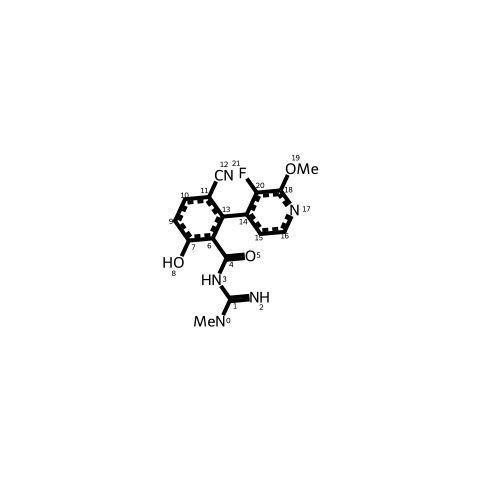 CNC(=N)NC(=O)c1c(O)ccc(C#N)c1-c1ccnc(OC)c1F